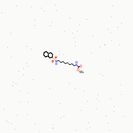 CC(C)(C)OC(=O)NCCCCCCCCNS(=O)(=O)c1ccc2ccccc2c1